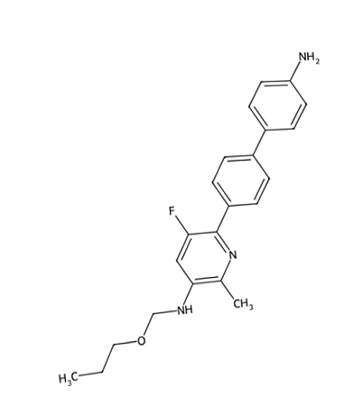 CCCOCNc1cc(F)c(-c2ccc(-c3ccc(N)cc3)cc2)nc1C